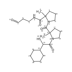 CC1(C(=O)NCCC=O)CCCN1C(=O)C1(C)CCCN1C(=O)C(S)C1CCCCC1